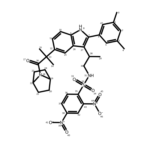 Cc1cc(C)cc(-c2[nH]c3ccc(C(C)(C)C(=O)N4C5CCC4CC5)cc3c2C(C)CNS(=O)(=O)c2ccc([N+](=O)[O-])cc2[N+](=O)[O-])c1